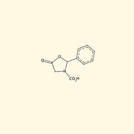 O=C1CN(C(=O)O)C(c2ccccc2)O1